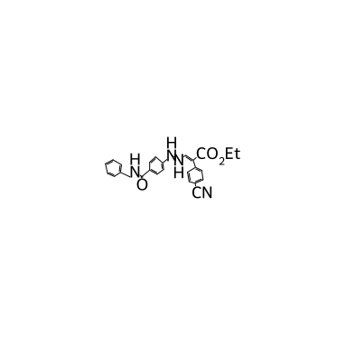 CCOC(=O)/C(=C/NNc1ccc(C(=O)NCc2ccccc2)cc1)c1ccc(C#N)cc1